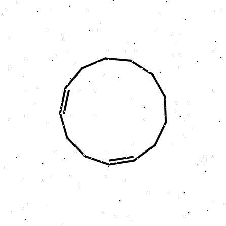 [C]1=CCCCCCCCC=CCC1